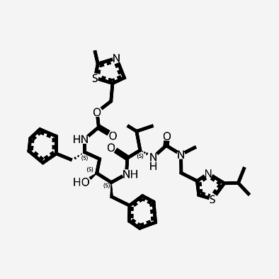 Cc1ncc(COC(=O)N[C@@H](Cc2ccccc2)C[C@H](O)[C@H](Cc2ccccc2)NC(=O)[C@@H](NC(=O)N(C)Cc2csc(C(C)C)n2)C(C)C)s1